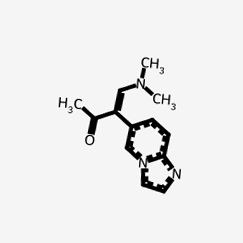 CC(=O)/C(=C/N(C)C)c1ccc2nccn2c1